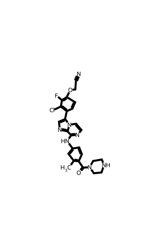 Cc1cc(Nc2nccn3c(-c4ccc(OCC#N)c(F)c4Cl)cnc23)ccc1C(=O)N1CCNCC1